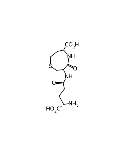 N[C@@H](CCC(=O)NC1CSCCC(C(=O)O)NC1=O)C(=O)O